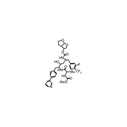 COC(=O)NC(C(=O)NC(Cc1ccc(-c2cccnc2)cc1)C(O)CN(Cc1ccc(C(F)(F)F)c(F)c1)NC(=O)OC1COC2OCCC12)C(C)(C)C